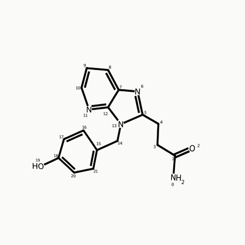 NC(=O)CCc1nc2cccnc2n1Cc1ccc(O)cc1